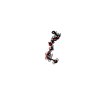 Cc1c(-c2ccc(N3CCc4cccc(C(=O)Nc5nc6ccccc6s5)c4C3)nc2C(=O)O)cnn1CC12CC3(C)CC(C)(C1)CC(OCCN(C)C(=O)OCc1ccc(NC(=O)[C@H](C)NC(=O)[C@H](C)NC(=O)CCCCCN4C(=O)C=CC4=O)cc1)(C3)C2